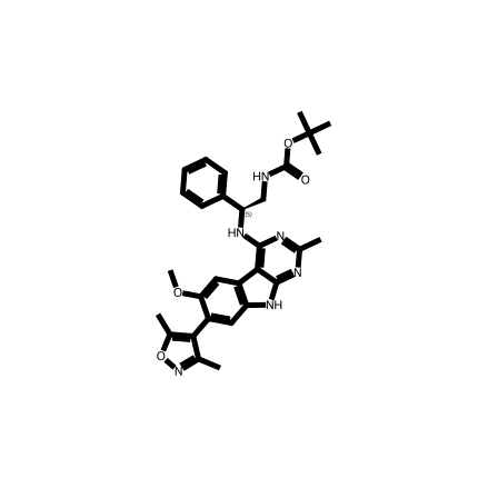 COc1cc2c(cc1-c1c(C)noc1C)[nH]c1nc(C)nc(N[C@H](CNC(=O)OC(C)(C)C)c3ccccc3)c12